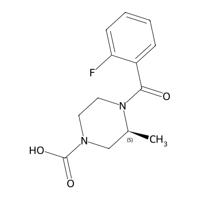 C[C@H]1CN(C(=O)O)CCN1C(=O)c1ccccc1F